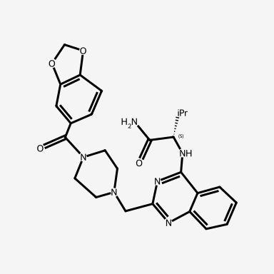 CC(C)[C@H](Nc1nc(CN2CCN(C(=O)c3ccc4c(c3)OCO4)CC2)nc2ccccc12)C(N)=O